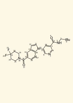 CC(C)(C)CNC(=O)c1cncc(-n2ccc3cc(C(=O)N4CCC(F)(F)CC4)cnc32)c1